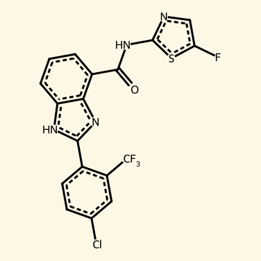 O=C(Nc1ncc(F)s1)c1cccc2[nH]c(-c3ccc(Cl)cc3C(F)(F)F)nc12